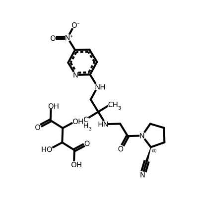 CC(C)(CNc1ccc([N+](=O)[O-])cn1)NCC(=O)N1CCC[C@H]1C#N.O=C(O)C(O)C(O)C(=O)O